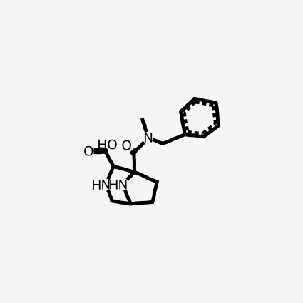 CN(Cc1ccccc1)C(=O)C12CCC(CNC1C(=O)O)N2